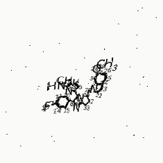 CNc1nccc(-c2c(-c3ccc(F)cc3)nc3n2C(Cn2ccc4ccc(OC)cc42)CC3)n1